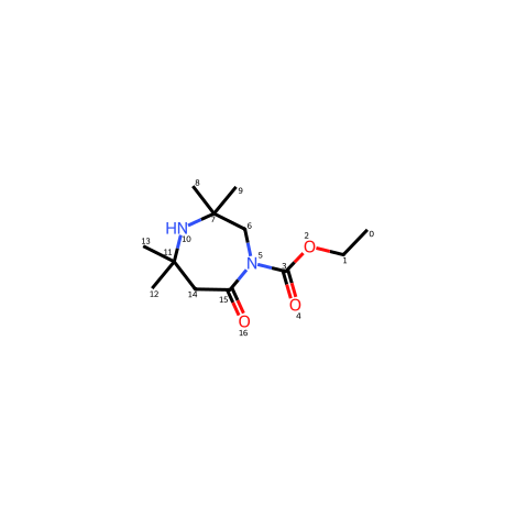 CCOC(=O)N1CC(C)(C)NC(C)(C)CC1=O